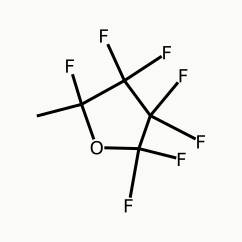 CC1(F)OC(F)(F)C(F)(F)C1(F)F